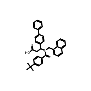 CC(C)(C)c1ccc(C(=O)N(Cc2cccc3ccccc23)C(CC(=O)O)c2ccc(-c3ccccc3)cc2)cc1